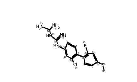 CSc1ccc(-c2ccc(NC(=N)NC(N)N)cc2Cl)c(F)c1